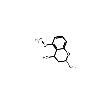 COc1cccc2c1C(O)C[C@@H](C)O2